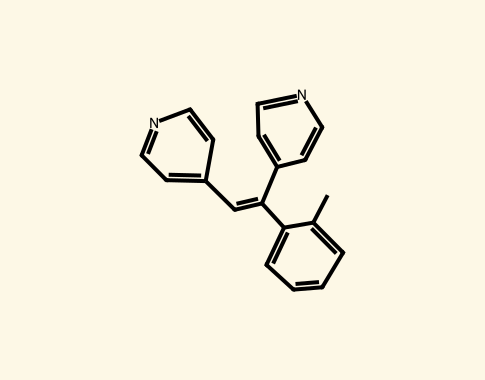 Cc1ccccc1/C(=C/c1ccncc1)c1ccncc1